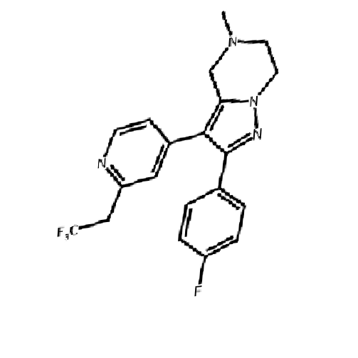 CN1CCn2nc(-c3ccc(F)cc3)c(-c3ccnc(CC(F)(F)F)c3)c2C1